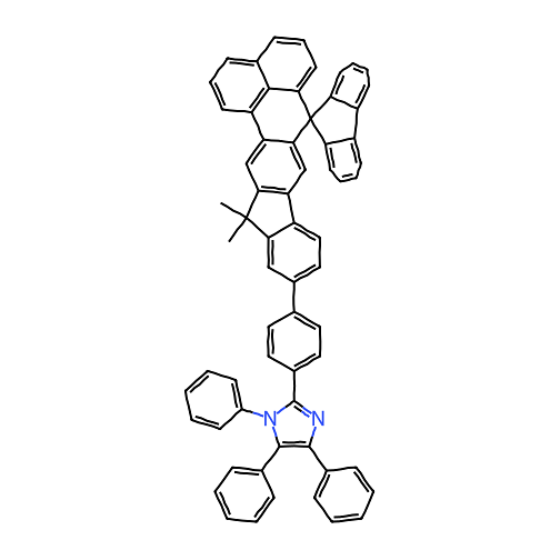 CC1(C)c2cc(-c3ccc(-c4nc(-c5ccccc5)c(-c5ccccc5)n4-c4ccccc4)cc3)ccc2-c2cc3c(cc21)-c1cccc2cccc(c12)C31c2ccccc2-c2ccccc21